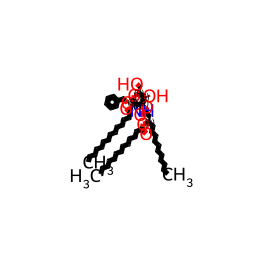 CCCCCCCCCCCCCC(=O)N[C@H]1[C@H](OCc2ccccc2)O[C@H](CO)[C@@H](O)[C@@H]1OC(=O)C[C@@H](CCCCCCCCCCC)OC(=O)CCCCCCCCCCCCC